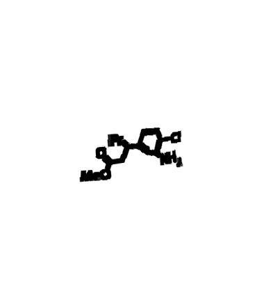 COC(=O)CC(c1ccc(Cl)c(N)c1)C(C)C